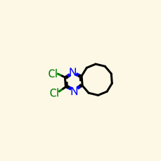 Clc1nc2c(nc1Cl)CCCCCCCC2